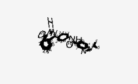 CC(C)n1cnc2cc(C(=O)N[C@H]3CC[C@H](c4n[nH]c(=O)c5ccccc54)CC3)ccc21